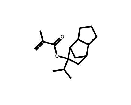 C=C(C)C(=O)OC1(C(C)C)CC2CC1C1CCCC21